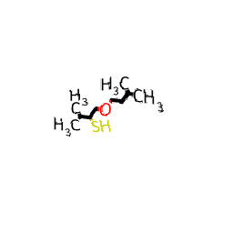 CC(C)CCOCC(S)C(C)C